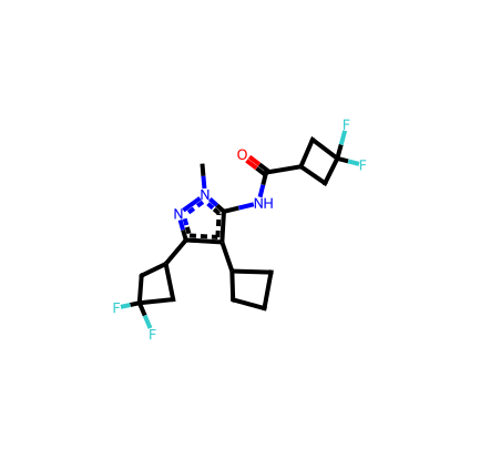 Cn1nc(C2CC(F)(F)C2)c(C2CCC2)c1NC(=O)C1CC(F)(F)C1